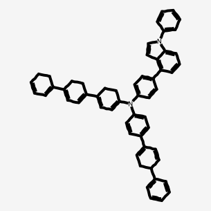 C1=CCCC(C2=CC=C(C3=CC=C(N(c4ccc(C5=CCC(c6ccccc6)C=C5)cc4)c4ccc(-c5cccc6c5ccn6-c5ccccc5)cc4)CC3)CC2)=C1